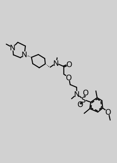 COc1cc(C)c(S(=O)(=O)N(C)CCOCC(=O)N(C)C[C@H]2CC[C@@H](N3CCN(C)CC3)CC2)c(C)c1